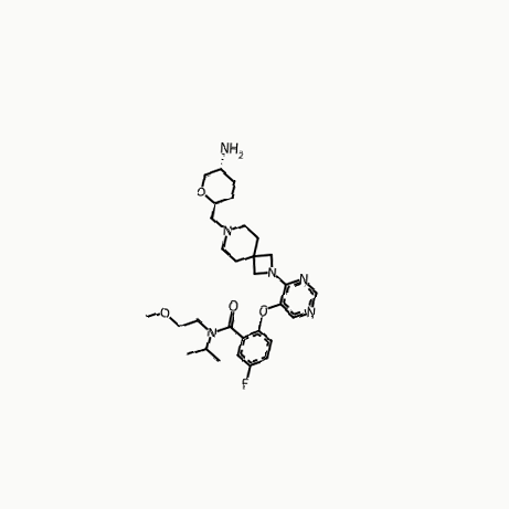 COCCN(C(=O)c1cc(F)ccc1Oc1cncnc1N1CC2(CCN(C[C@@H]3CC[C@@H](N)CO3)CC2)C1)C(C)C